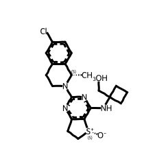 C[C@H]1c2ccc(Cl)cc2CCN1c1nc2c(c(NC3(CO)CCC3)n1)[S@+]([O-])CC2